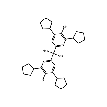 CCCCC(CCCC)(c1cc(C2CCCC2)c(O)c(C2CCCC2)c1)c1cc(C2CCCC2)c(O)c(C2CCCC2)c1